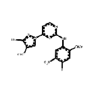 COc1cc(F)c([N+](=O)[O-])cc1Nc1nccc(-n2cc(C=O)c(C(C)(C)C)n2)n1